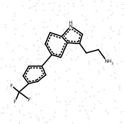 NCCc1c[nH]c2ccc(-c3ccc(C(F)(F)F)cc3)cc12